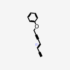 C#C/C=C/C#CCOc1ccccc1